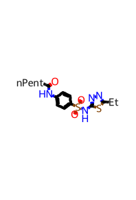 CCCCCC(=O)Nc1ccc(S(=O)(=O)Nc2nnc(CC)s2)cc1